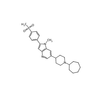 Cn1c(-c2ccc(S(C)(=O)=O)cc2)cc2ncc(C3CCN(C4CCCCCC4)CC3)cc21